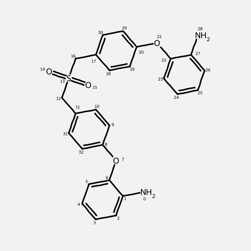 Nc1ccccc1Oc1ccc(CS(=O)(=O)Cc2ccc(Oc3ccccc3N)cc2)cc1